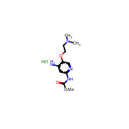 COC(=O)Nc1cc(N)c(OCCN(C)C)cn1.Cl